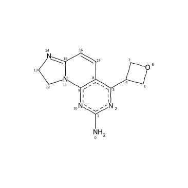 Nc1nc(C2COC2)c2c(n1)N1CCN=C1C=C2